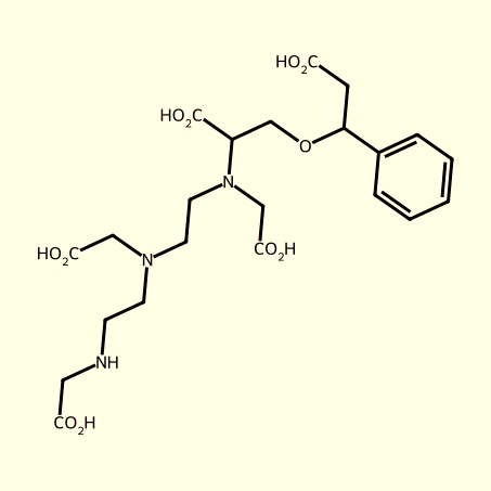 O=C(O)CNCCN(CCN(CC(=O)O)C(COC(CC(=O)O)c1ccccc1)C(=O)O)CC(=O)O